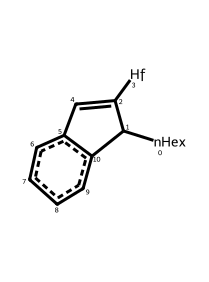 CCCCCCC1[C]([Hf])=Cc2ccccc21